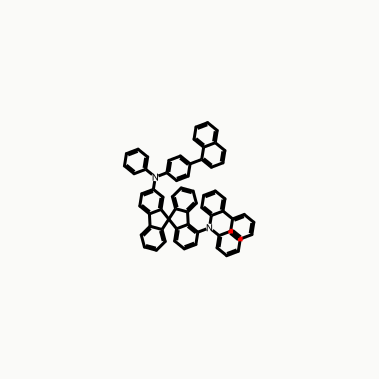 c1ccc(-c2ccccc2N(c2ccccc2)c2cccc3c2-c2ccccc2C32c3ccccc3-c3ccc(N(c4ccccc4)c4ccc(-c5cccc6ccccc56)cc4)cc32)cc1